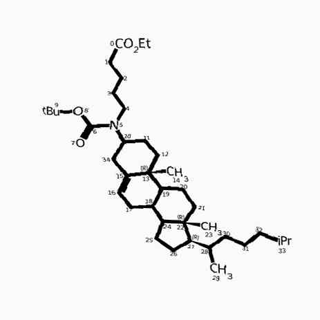 CCOC(=O)CCCCN(C(=O)OC(C)(C)C)C1CC[C@@]2(C)C(=CCC3C2CC[C@@]2(C)C3CC[C@@H]2C(C)CCCC(C)C)C1